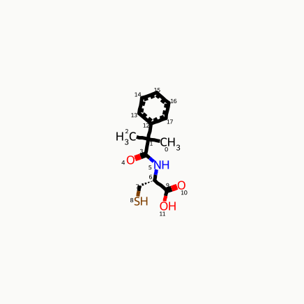 CC(C)(C(=O)N[C@@H](CS)C(=O)O)c1ccccc1